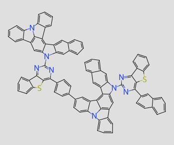 c1ccc2cc(-c3nc(-n4c5cc6ccccc6cc5c5c6c7cc(-c8ccc(-c9nc(-n%10c%11cc%12ccccc%12cc%11c%11c%12c%13ccccc%13n%13c%14ccccc%14c(cc%11%10)c%12%13)nc%10c9sc9ccccc9%10)cc8)ccc7n7c8ccccc8c(cc54)c67)nc4c3sc3ccccc34)ccc2c1